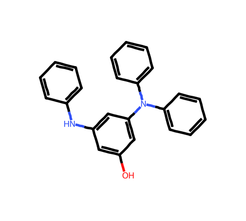 Oc1cc(Nc2ccccc2)cc(N(c2ccccc2)c2ccccc2)c1